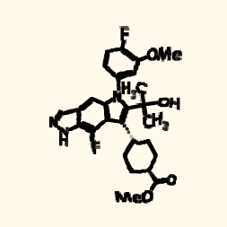 COc1cc(-n2c(C(C)(C)O)c([C@H]3CC[C@H](C(=O)OC)CC3)c3c(F)c4[nH]ncc4cc32)ccc1F